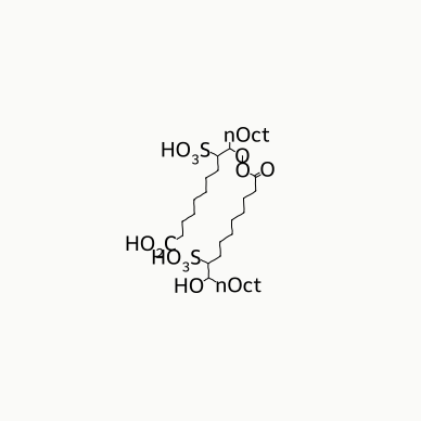 CCCCCCCCC(O)C(CCCCCCCC(=O)OOC(CCCCCCCC)C(CCCCCCCC(=O)O)S(=O)(=O)O)S(=O)(=O)O